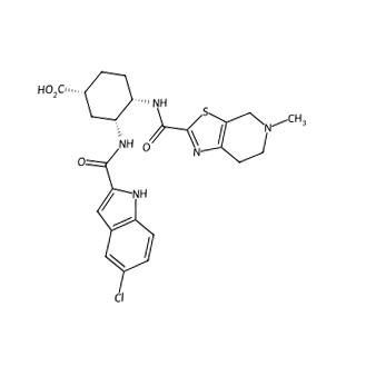 CN1CCc2nc(C(=O)N[C@H]3CC[C@@H](C(=O)O)C[C@H]3NC(=O)c3cc4cc(Cl)ccc4[nH]3)sc2C1